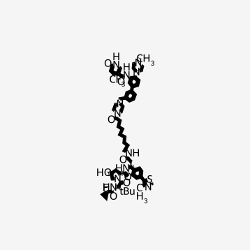 Cc1ncsc1-c1ccc([C@H](CC(=O)NCCCCCCCCC(=O)N2CCN(Cc3cccc(-c4ccc(N5CCN(C)CC5)c(NC(=O)c5c[nH]c(=O)cc5C(F)(F)F)c4)c3)CC2)NC(=O)[C@@H]2C[C@@H](O)CN2C(=O)[C@@H](NC(=O)C2(F)CC2)C(C)(C)C)cc1